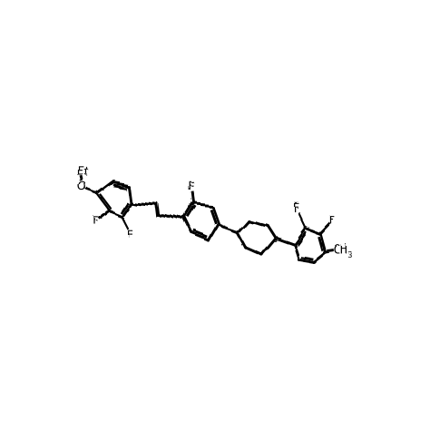 CCOc1ccc(CCc2ccc(C3CCC(c4ccc(C)c(F)c4F)CC3)cc2F)c(F)c1F